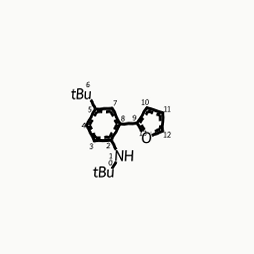 CC(C)(C)Nc1ccc(C(C)(C)C)cc1-c1ccco1